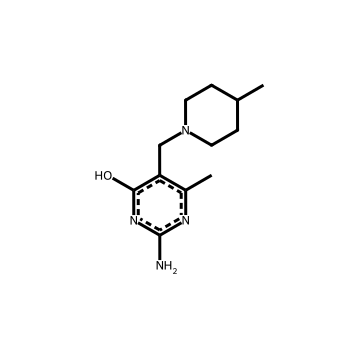 Cc1nc(N)nc(O)c1CN1CCC(C)CC1